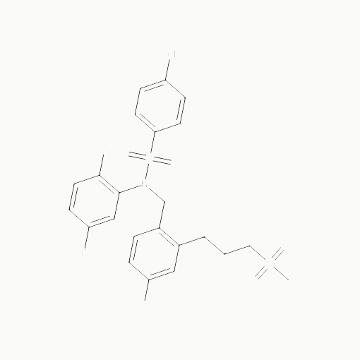 C[C@H](c1ccc(F)cc1CCCS(C)(=O)=O)N(c1cc(F)ccc1F)S(=O)(=O)c1ccc(Cl)cc1